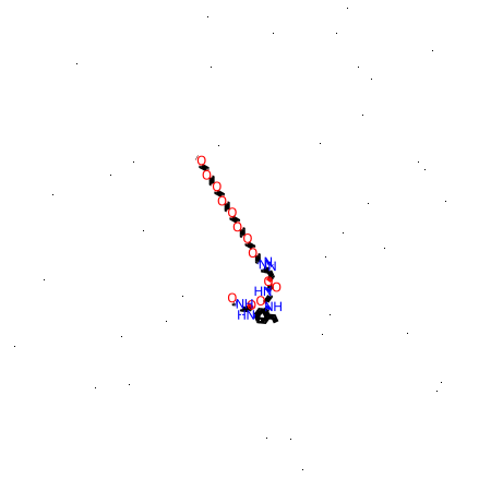 CCc1ccc(NC(=O)CNC=O)cc1NC(=O)CNC(=O)OCc1cn(CCOCCOCCOCCOCCOCCOCCOCCOC)nn1